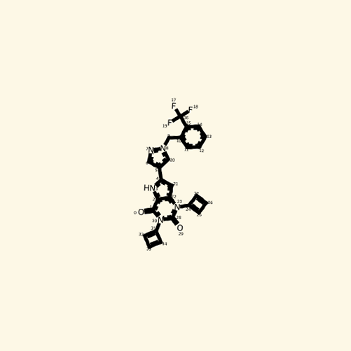 O=c1c2[nH]c(-c3cnn(Cc4ccccc4C(F)(F)F)c3)cc2n(C2=CC=C2)c(=O)n1C1=CC=C1